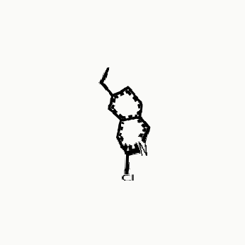 CCc1ccc2cnc(Cl)cc2c1